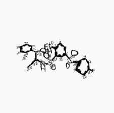 CCc1ccc(S(=O)(=O)c2ccc(F)cc2)cc1S(=O)(=O)NC(C)C(O)c1ccccc1